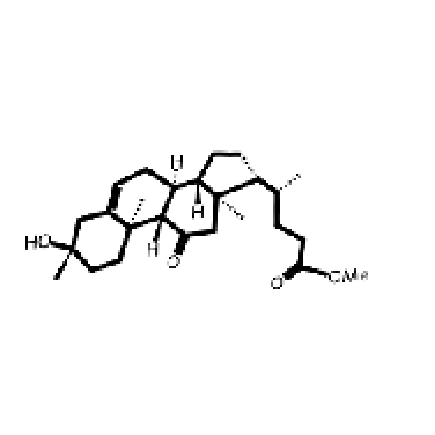 COC(=O)CC[C@@H](C)[C@H]1CC[C@H]2[C@@H]3CC=C4C[C@@](C)(O)CC[C@]4(C)[C@H]3C(=O)C[C@]12C